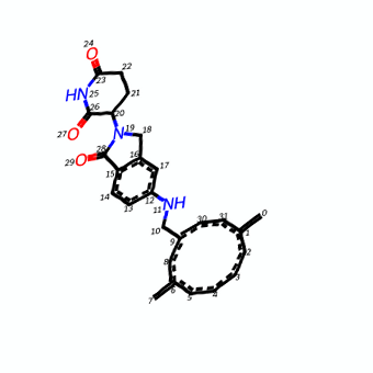 C=c1ccccc(=C)cc(CNc2ccc3c(c2)CN(C2CCC(=O)NC2=O)C3=O)cc1